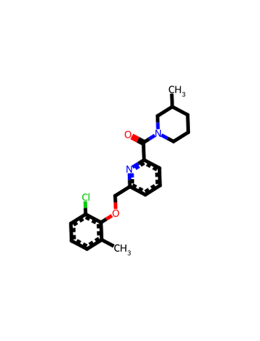 Cc1cccc(Cl)c1OCc1cccc(C(=O)N2CCCC(C)C2)n1